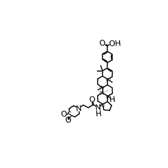 CC1(C)C(c2ccc(C(=O)O)cc2)=CC[C@@]2(C)C1CC[C@]1(C)C2CC[C@@H]2C3CCC[C@]3(NC(=O)CCN3CCS(=O)(=O)CC3)CC[C@]21C